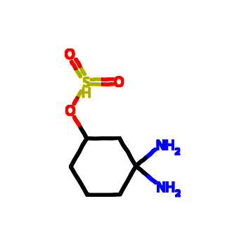 NC1(N)CCCC(O[SH](=O)=O)C1